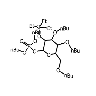 CCCCOCC1OC(OP(=O)(OCCCC)OCCCC)C(O[Si](CC)(CC)CC)C(OCCCC)C1OCCCC